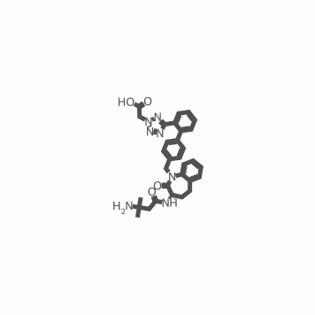 CC(C)(N)CC(=O)N[C@@H]1CCc2ccccc2N(Cc2ccc(-c3ccccc3-c3nnn(CC(=O)O)n3)cc2)C1=O